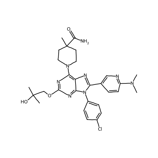 CN(C)c1ccc(-c2nc3c(N4CCC(C)(C(N)=O)CC4)nc(OCC(C)(C)O)nc3n2-c2ccc(Cl)cc2)cn1